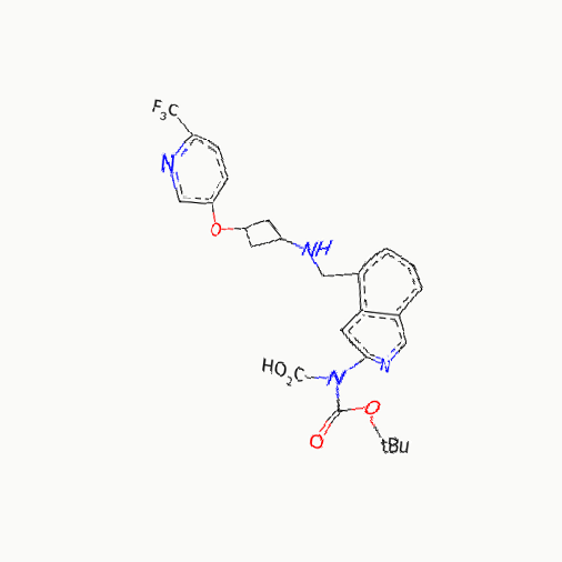 CC(C)(C)OC(=O)N(C(=O)O)c1cc2c(CNC3CC(Oc4ccc(C(F)(F)F)nc4)C3)cccc2cn1